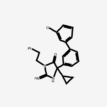 CC(C)CCN1C(=N)NC(c2cccc(-c3cccc(Cl)c3)c2)(C2CC2)C1=O